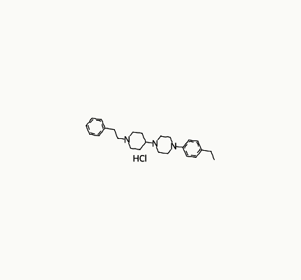 CCc1ccc(N2CCN(C3CCN(CCc4ccccc4)CC3)CC2)cc1.Cl